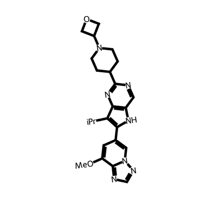 COc1cc(-c2[nH]c3cnc(C4CCN(C5COC5)CC4)nc3c2C(C)C)cn2ncnc12